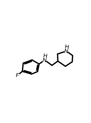 Fc1ccc(NCC2CCCNC2)cc1